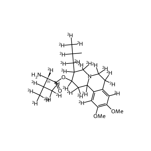 [2H]c1c(OC)c(OC)c([2H])c2c1C([2H])([2H])C([2H])([2H])N1C([2H])([2H])C([2H])(C([2H])([2H])C([2H])(C)C([2H])([2H])[2H])C([2H])(OC(=O)[C@@]([2H])(N)C([2H])(C([2H])([2H])[2H])C([2H])([2H])[2H])C([2H])([2H])C21[2H]